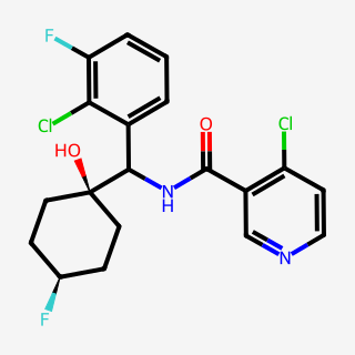 O=C(NC(c1cccc(F)c1Cl)[C@]1(O)CC[C@@H](F)CC1)c1cnccc1Cl